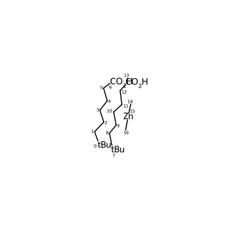 CC(C)(C)CCCCCC(=O)O.CC(C)(C)CCCCCC(=O)O.[CH3][Zn][CH3]